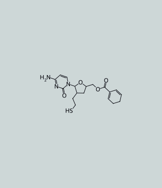 Nc1ccn(C2OC(COC(=O)C3=CCCC=C3)CC2CCS)c(=O)n1